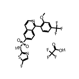 COc1cc(C(F)(F)F)ccc1-c1nccc2cc(S(=O)(=O)Nc3ncc(F)s3)ccc12.O=C(O)C(F)(F)F